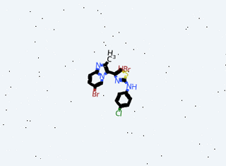 Br.Cc1nc2ccc(Br)cn2c1-c1csc(Nc2ccc(Cl)cc2)n1